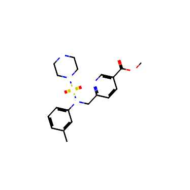 COC(=O)c1ccc(CN(c2cccc(C)c2)S(=O)(=O)N2CCNCC2)nc1.Cl